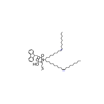 CCCCCCCC/C=C\CCCCCCCCC(CCCCCCC/C=C\CCCCCCCC)N(C(=O)OCC1c2ccccc2-c2ccccc21)[C@@H](CCSC)C(=O)O